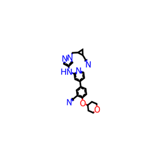 N#Cc1cc(-c2ccnc(Nc3cnn(CC4CC4C#N)c3)c2)ccc1OC1CCOCC1